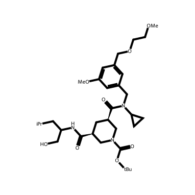 COCCOCc1cc(CN(C(=O)[C@@H]2C[C@H](C(=O)NC(CO)CC(C)C)CN(C(=O)OC(C)(C)C)C2)C2CC2)cc(OC)c1